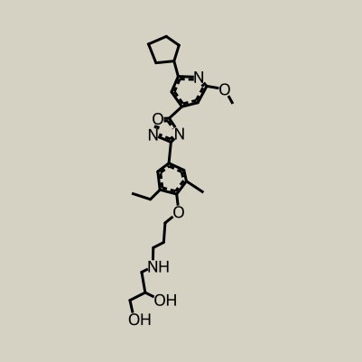 CCc1cc(-c2noc(-c3cc(OC)nc(C4CCCC4)c3)n2)cc(C)c1OCCCNCC(O)CO